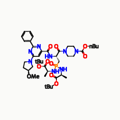 CCCCOC(=O)N1CCN(C(=O)[C@H](CP(=O)(N[C@@H](C)C(=O)OC(C)(C)C)N[C@@H](C)C(=O)OC(C)(C)C)NC(=O)c2cc(N3CC[C@H](OC)C3)nc(-c3ccccc3)n2)CC1